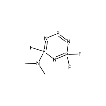 CN(C)P1(F)=NP=NP(F)(F)=N1